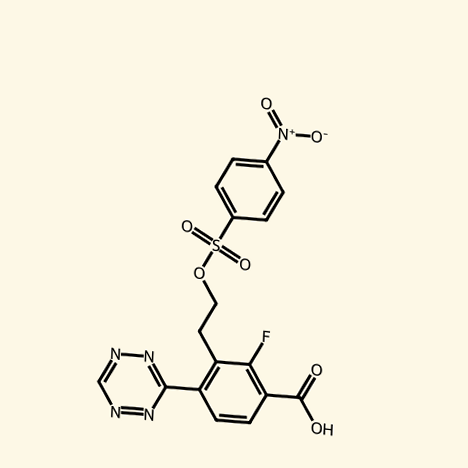 O=C(O)c1ccc(-c2nncnn2)c(CCOS(=O)(=O)c2ccc([N+](=O)[O-])cc2)c1F